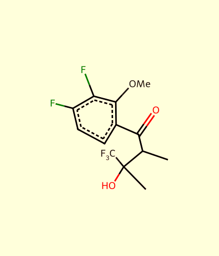 COc1c(C(=O)C(C)C(C)(O)C(F)(F)F)ccc(F)c1F